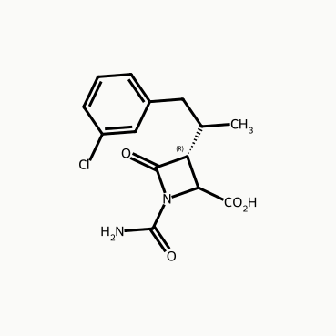 CC(Cc1cccc(Cl)c1)[C@H]1C(=O)N(C(N)=O)C1C(=O)O